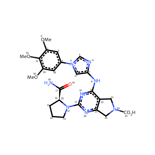 COc1cc(-n2cnc(Nc3nc(N4CCC[C@H]4C(N)=O)nc4c3CN(C(=O)O)C4)c2)cc(OC)c1OC